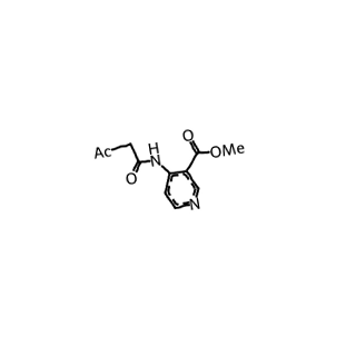 COC(=O)c1cnccc1NC(=O)CC(C)=O